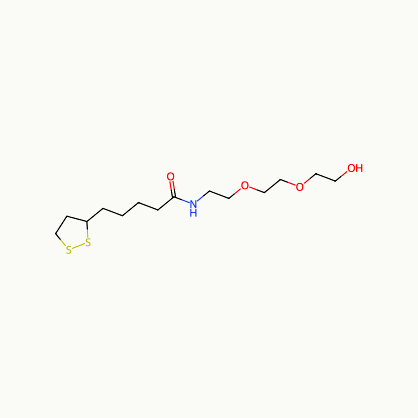 O=C(CCCCC1CCSS1)NCCOCCOCCO